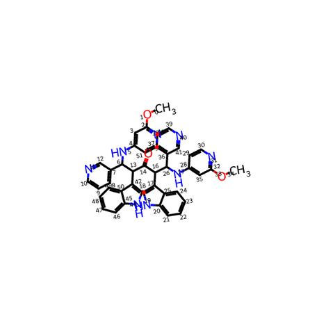 COc1cc(NC(c2cccnc2)C(C(=O)C(c2c[nH]c3ccccc23)C(Nc2ccnc(OC)c2)c2cccnc2)c2c[nH]c3ccccc23)ccn1